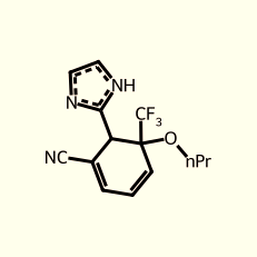 CCCOC1(C(F)(F)F)C=CC=C(C#N)C1c1ncc[nH]1